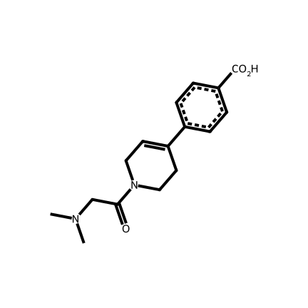 CN(C)CC(=O)N1CC=C(c2ccc(C(=O)O)cc2)CC1